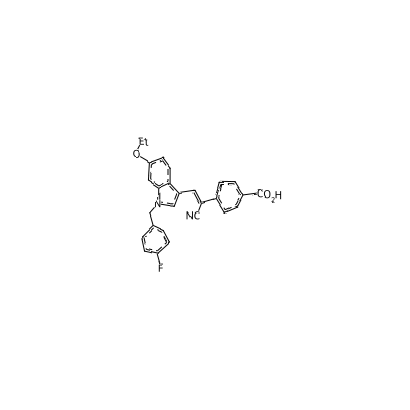 CCOc1ccc2c(/C=C(\C#N)c3ccc(C(=O)O)cc3)cn(Cc3ccc(F)cc3)c2c1